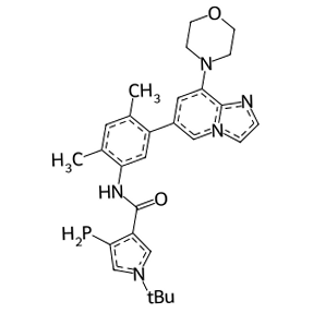 Cc1cc(C)c(-c2cc(N3CCOCC3)c3nccn3c2)cc1NC(=O)c1cn(C(C)(C)C)cc1P